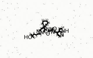 CC(C)(O)CCc1cn2cc(NC(=O)c3coc(-c4ccnc5[nH]ccc45)n3)c(N3CCCCC3)cc2n1